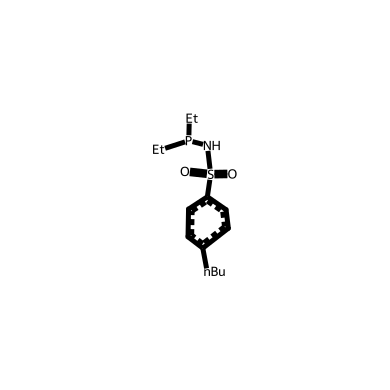 CCCCc1ccc(S(=O)(=O)NP(CC)CC)cc1